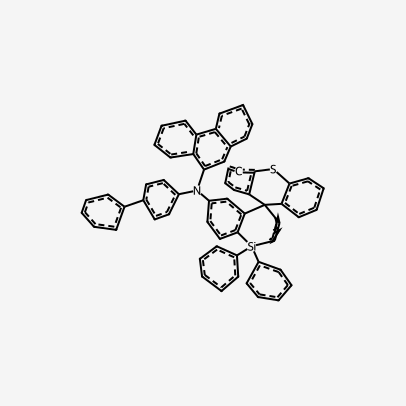 c1ccc(-c2ccc(N(c3ccc4c(c3)C3(c5ccccc5Sc5ccccc53)c3ccccc3[Si]4(c3ccccc3)c3ccccc3)c3cc4ccccc4c4ccccc34)cc2)cc1